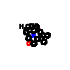 CC1(C)c2ccccc2-c2c(N(c3cccc(C4(c5ccccc5)c5ccccc5-c5ccccc54)c3)c3cccc4oc5ccccc5c34)cc3ccccc3c21